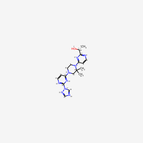 C[C@@H](O)c1nccc(N2CCN(c3ccnc(-n4cncn4)n3)CC2(C)C)n1